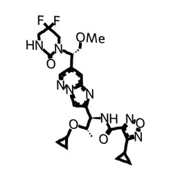 COC[C@H](c1cnn2cc([C@@H](NC(=O)c3nonc3C3CC3)[C@H](C)OC3CC3)nc2c1)N1CC(F)(F)CNC1=O